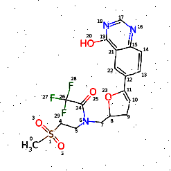 CS(=O)(=O)CCN(CC1CC=C(c2ccc3ncnc(O)c3c2)O1)C(=O)C(F)(F)F